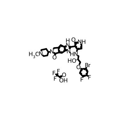 CN1CCC(N2Cc3cc4[nH]c(-c5c(NC[C@@H](O)COc6cc(F)c(F)cc6Br)cc[nH]c5=O)nc4cc3C2=O)CC1.O=C(O)C(F)(F)F